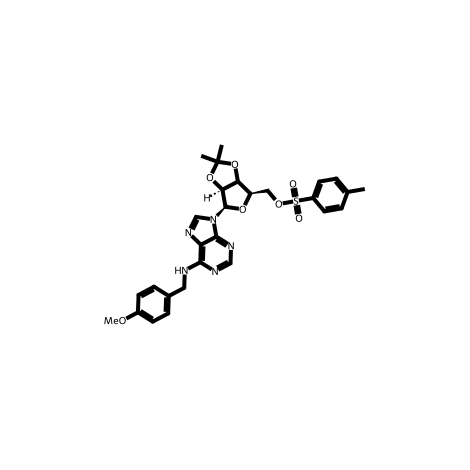 COc1ccc(CNc2ncnc3c2ncn3[C@@H]2O[C@H](COS(=O)(=O)c3ccc(C)cc3)C3OC(C)(C)O[C@@H]32)cc1